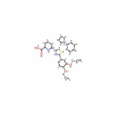 CCOc1ccc(-c2nc(-c3cccc(C(=O)O)n3)cs2)cc1OCC.c1ccc(-n2cccc2)cc1